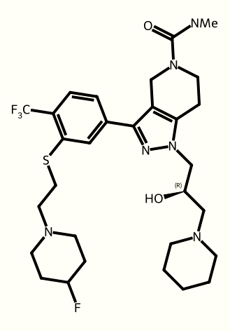 CNC(=O)N1CCc2c(c(-c3ccc(C(F)(F)F)c(SCCN4CCC(F)CC4)c3)nn2C[C@H](O)CN2CCCCC2)C1